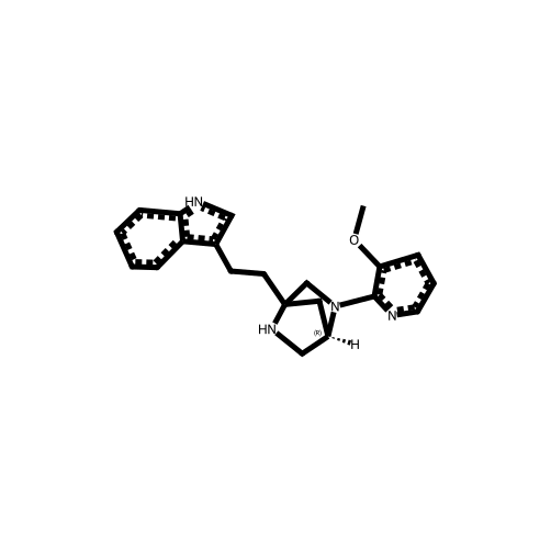 COc1cccnc1N1CC2(CCc3c[nH]c4ccccc34)C[C@@H]1CN2